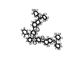 Cc1ccccc1N1c2cc3c(cc2B2c4cc5oc6c7ccc(N(c8ccccc8)c8ccccc8)cc7ccc6c5cc4Oc4cccc1c42)oc1c2ccc(N(c4ccccc4)c4ccccc4)cc2ccc31